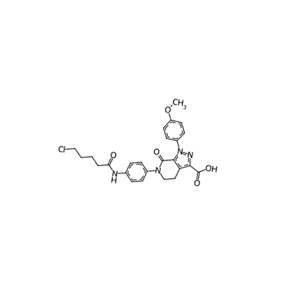 COc1ccc(-n2nc(C(=O)O)c3c2C(=O)N(c2ccc(NC(=O)CCCCCl)cc2)CC3)cc1